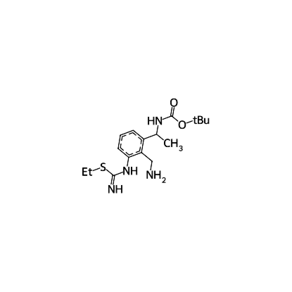 CCSC(=N)Nc1cccc(C(C)NC(=O)OC(C)(C)C)c1CN